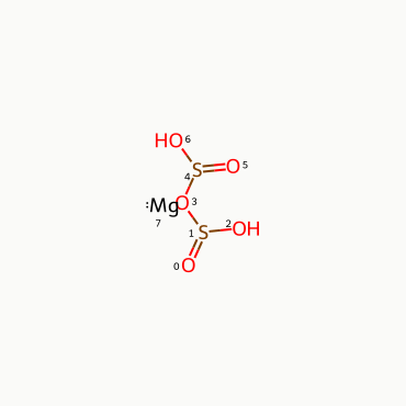 O=S(O)OS(=O)O.[Mg]